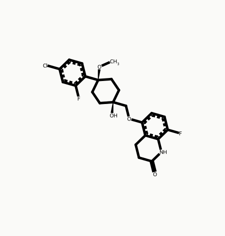 CO[C@]1(c2ccc(Cl)cc2F)CC[C@@](O)(COc2ccc(F)c3c2CCC(=O)N3)CC1